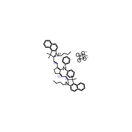 CCCCN1/C(=C\C=C2\CCC(/C=C/C3=[N+](CCCC)c4ccc5ccccc5c4C3(C)C)=C2N(c2ccccc2)c2ccccc2)C(C)(C)c2c1ccc1ccccc21.[O-][Cl+3]([O-])([O-])[O-]